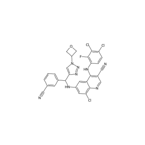 N#Cc1cccc(C(Nc2cc(Cl)c3ncc(C#N)c(Nc4ccc(Cl)c(Cl)c4F)c3c2)c2cn(C3COC3)nn2)c1